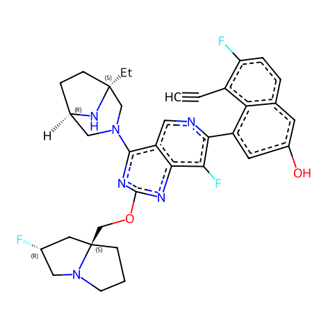 C#Cc1c(F)ccc2cc(O)cc(-c3ncc4c(N5C[C@H]6CC[C@@](CC)(C5)N6)nc(OC[C@@]56CCCN5C[C@H](F)C6)nc4c3F)c12